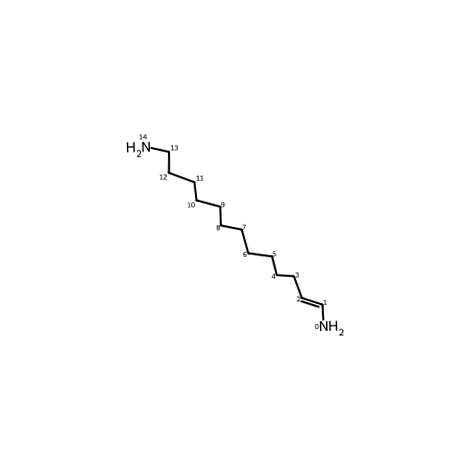 NC=CCCCCCCCCCCCN